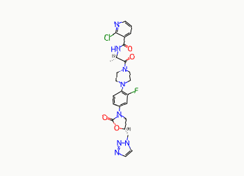 C[C@H](NC(=O)c1cccnc1Cl)C(=O)N1CCN(c2ccc(N3C[C@H](Cn4ccnn4)OC3=O)cc2F)CC1